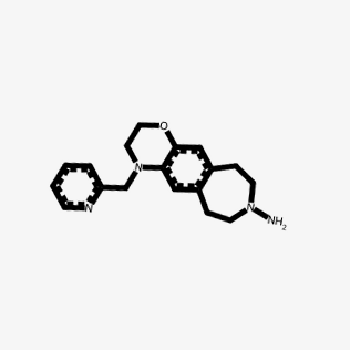 NN1CCc2cc3c(cc2CC1)N(Cc1ccccn1)CCO3